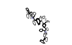 COC/C(=N\OC(=O)C1CCCC1)C(=O)c1ccc(Sc2ccc(C(=O)/C(=N/OC(=O)C3CCCC3)C3CCCCC3)cc2C(C)C)c([N+](=O)[O-])c1